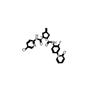 C=C1C[C@H](C(=O)Nc2ccc(Cl)cn2)[C@@H](C(=O)Nc2ccc(-n3ccccc3=O)cc2F)C1